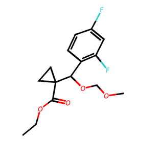 CCOC(=O)C1(C(OCOC)c2ccc(F)cc2F)CC1